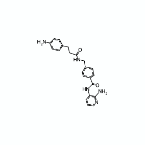 Nc1ccc(CCC(=O)NCc2ccc(C(=O)Nc3cccnc3N)cc2)cc1